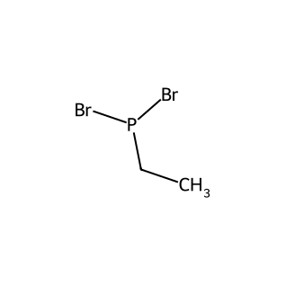 CCP(Br)Br